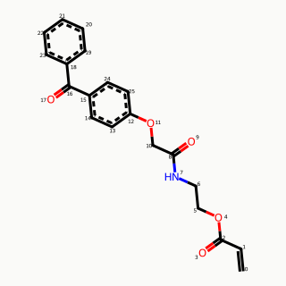 C=CC(=O)OCCNC(=O)COc1ccc(C(=O)c2ccccc2)cc1